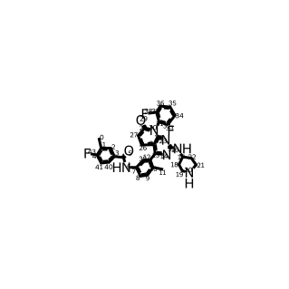 Cc1cc(C(=O)Nc2ccc(C)c(-c3nc(NC4CCNCC4)nc4c3ccc(=O)n4-c3c(F)cccc3F)c2)ccc1F